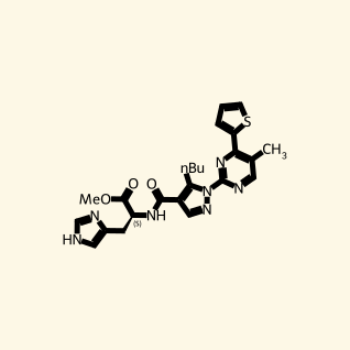 CCCCc1c(C(=O)N[C@@H](Cc2c[nH]cn2)C(=O)OC)cnn1-c1ncc(C)c(-c2cccs2)n1